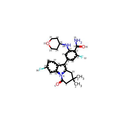 CC1(C)CC(=O)n2c(c(-c3cc(F)c(C(N)=O)c(NC4CCOCC4)c3)c3ccc(F)cc32)C1